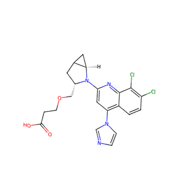 O=C(O)CCOC[C@@H]1CC2C[C@H]2N1c1cc(-n2ccnc2)c2ccc(Cl)c(Cl)c2n1